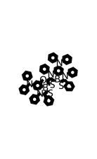 C1=CC2SC3=C(C2C=C1)N(c1ccccc1)c1cc(N(c2ccccc2)c2ccccc2)cc2c1B3c1sc3c(c1N2c1ccccc1)Oc1cc(N(c2ccccc2)c2ccccc2)cc2c1B3c1sc3ccccc3c1N2c1ccccc1